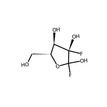 OC[C@H]1OC(O)(F)[C@@](O)(F)[C@@H]1O